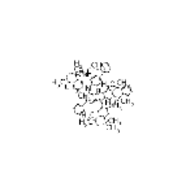 Cc1cc2c(cc1N1c3cc4c(cc3B3c5cc6c(cc5N(c5cc7c(cc5C)C(C)(C)CCC7(C)C)c5cc(-c7ccccc7)cc1c53)C(C)(C)c1ccccc1C6(C)C)-c1ccccc1C4(C)C)C(C)(C)CCC2(C)C